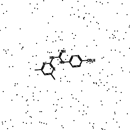 Cc1cc(C)nc(NC(=N)Nc2ccc(C(=O)O)cc2)n1